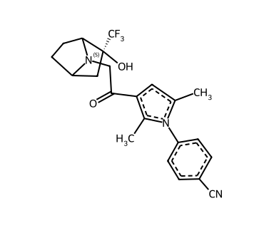 Cc1cc(C(=O)CN2C3CCC2[C@](O)(C(F)(F)F)C3)c(C)n1-c1ccc(C#N)cc1